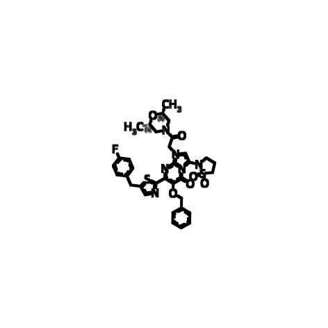 C[C@H]1CN(C(=O)Cn2cc(N3CCCS3(=O)=O)n3c(=O)c(OCc4ccccc4)c(-c4ncc(Cc5ccc(F)cc5)s4)nc23)C[C@H](C)O1